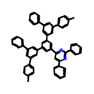 Cc1ccc(-c2cc(-c3ccccc3)cc(-c3cc(-c4cc(-c5ccccc5)cc(-c5ccc(C)cc5)c4)cc(-c4cc(-c5ccccc5)nc(-c5ccccc5)n4)c3)c2)cc1